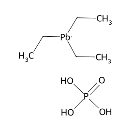 C[CH2][Pb]([CH2]C)[CH2]C.O=P(O)(O)O